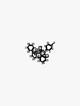 Cc1ccc(N2C(=O)CC([PH]3(O)N(c4ccccc4)CCN3c3ccccc3)C2=O)cc1